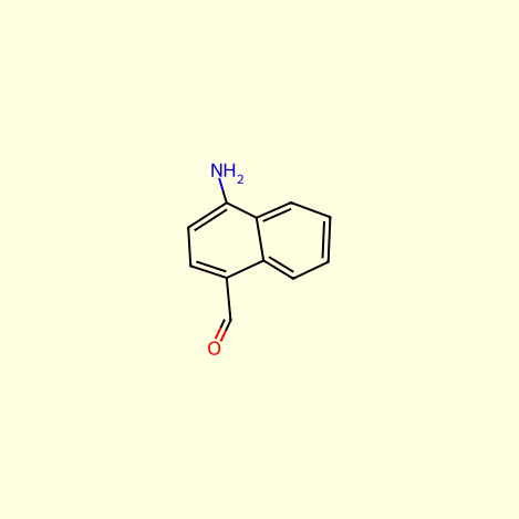 Nc1ccc(C=O)c2ccccc12